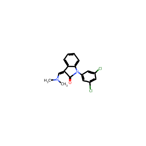 CN(C)C=C1C(=O)N(c2cc(Cl)cc(Cl)c2)c2ccccc21